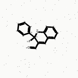 O=CC1=Cc2ccccc2SC1(F)c1ccccc1